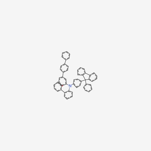 c1ccc(-c2ccc(-c3cccc(N(c4ccc(C5(c6ccccc6)c6ccccc6-c6ccccc65)cc4)c4ccccc4-c4ccccc4)c3)cc2)cc1